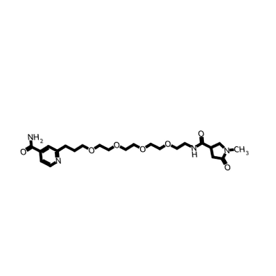 CN1CC(C(=O)NCCOCCOCCOCCOCCCc2cc(C(N)=O)ccn2)CC1=O